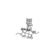 CCOC(=O)C(O)(C(O)(C(=O)OCC)P(=O)(O)O)P(=O)(O)O.[NaH].[NaH].[NaH].[NaH]